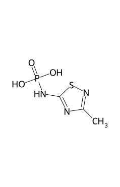 Cc1nsc(NP(=O)(O)O)n1